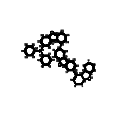 C1=CC2Oc3ccccc3C2C(c2ccc3c(c2)oc2ccc(-c4cccc5oc6ccc(N(c7ccccc7)c7ccccc7)cc6c45)cc23)=C1